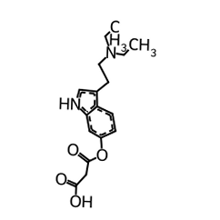 CCN(CC)CCc1c[nH]c2cc(OC(=O)CC(=O)O)ccc12